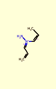 C=C/C=[N+](N)\C=C/C